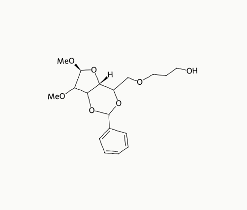 COC1C2OC(c3ccccc3)OC(COCCCO)[C@H]2O[C@@H]1OC